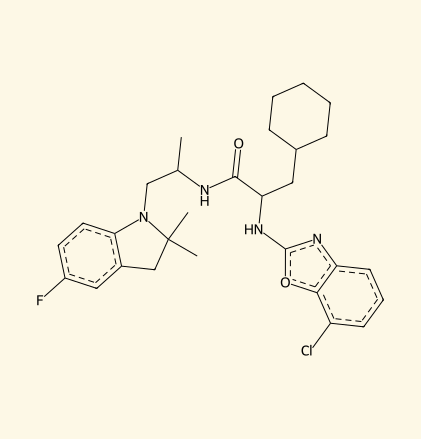 CC(CN1c2ccc(F)cc2CC1(C)C)NC(=O)C(CC1CCCCC1)Nc1nc2cccc(Cl)c2o1